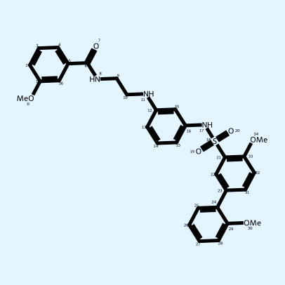 COc1cccc(C(=O)NCCNc2cccc(NS(=O)(=O)c3cc(-c4ccccc4OC)ccc3OC)c2)c1